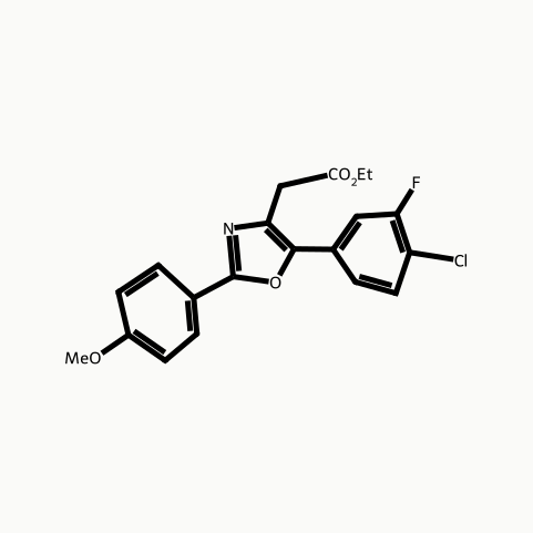 CCOC(=O)Cc1nc(-c2ccc(OC)cc2)oc1-c1ccc(Cl)c(F)c1